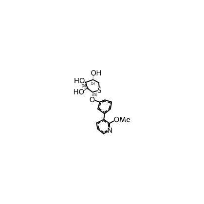 COc1ncccc1-c1cccc(O[C@H]2SC[C@@H](O)[C@H](O)[C@H]2O)c1